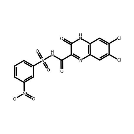 O=C(NS(=O)(=O)c1cccc([N+](=O)[O-])c1)c1nc2cc(Cl)c(Cl)cc2[nH]c1=O